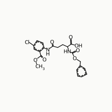 COC(=O)c1cc(Cl)ccc1NC(=O)CCC(NC(=O)OCc1ccccc1)C(=O)O